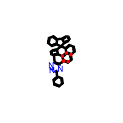 CC(C)C1c2ccccc2C2(c3ccccc3-c3ccccc32)c2cccc(-c3nnc(-c4ccccc4)nc3-c3ccccc3)c21